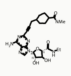 CCNC(=O)[C@H]1O[C@@H](n2cnc3c(N)nc(C#CCC4CCC(C(=O)NC)CC4)nc32)[C@@H](O)C1O